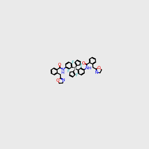 O=C(Nc1ccc(F)[c]([Ti]([C]2=CC=CC2)([C]2=CC=CC2)[c]2c(F)ccc(NC(=O)c3ccccc3CC3=NCCO3)c2F)c1F)c1ccccc1CC1=NCCO1